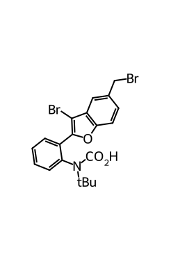 CC(C)(C)N(C(=O)O)c1ccccc1-c1oc2ccc(CBr)cc2c1Br